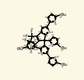 CC(C)(C)c1ccc(-c2cc(C3(c4ccc(C(C)(C)C)s4)C4=C(c5cc(-c6ccc(C(C)(C)C)s6)sc53)C(F)(F)C(F)(F)C4(F)F)c(-c3ccc(C(C)(C)C)s3)s2)s1